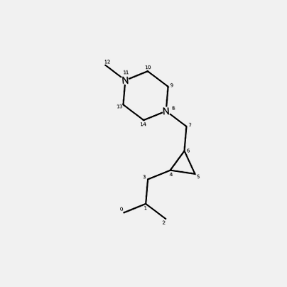 CC(C)CC1CC1CN1CCN(C)CC1